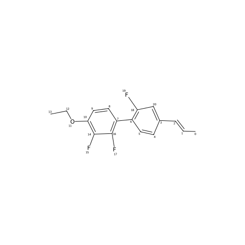 C/C=C/c1ccc(-c2ccc(OCC)c(F)c2F)c(F)c1